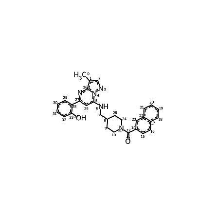 Cc1cnn2c(NCC3CCN(C(=O)c4ccc5ccccc5c4)CC3)cc(-c3ccccc3O)nc12